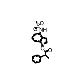 CC(C(=O)On1ccc2c(NS(C)(=O)=O)cccc21)c1ccccc1